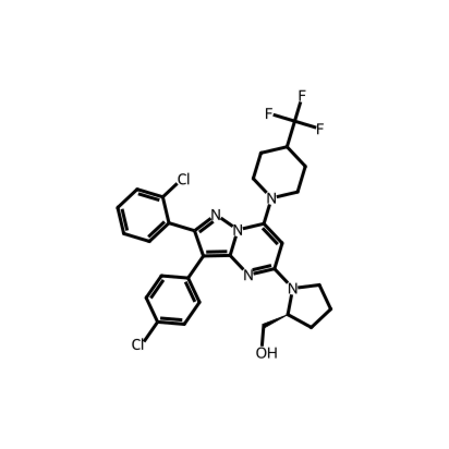 OC[C@@H]1CCCN1c1cc(N2CCC(C(F)(F)F)CC2)n2nc(-c3ccccc3Cl)c(-c3ccc(Cl)cc3)c2n1